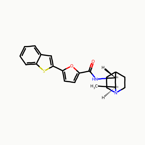 C[C@H]1[C@H](NC(=O)c2ccc(-c3cc4ccccc4s3)o2)C2CCN1CC2